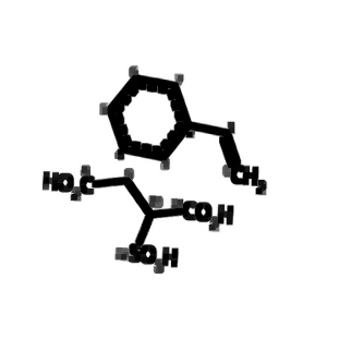 C=Cc1ccccc1.O=C(O)CC(C(=O)O)S(=O)(=O)O